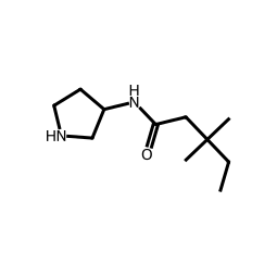 CCC(C)(C)CC(=O)NC1CCNC1